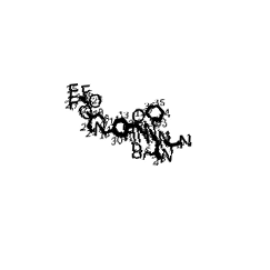 N#Cc1ncc(Br)c(N(NC(=O)c2ccc(CN3CCC(OC(=O)C(F)(F)F)CC3)cc2)C2CCCCC2)n1